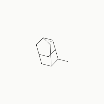 CC1C2C=C3CC(C2)CC1C3